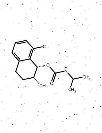 CC(C)NC(=O)O[C@H]1c2c(Cl)cccc2CC[C@H]1O